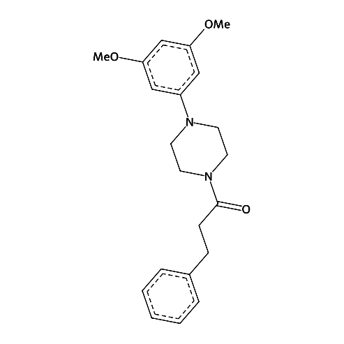 COc1cc(OC)cc(N2CCN(C(=O)CCc3ccccc3)CC2)c1